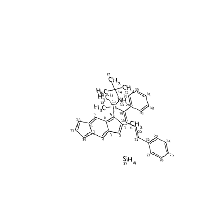 CC1=Cc2cc3c(cc2=[C]1[Ti]([CH3])([CH3])([NH]C(C)(C)C)[C](=CC=Cc1ccccc1)c1ccccc1)C=CC=3.[SiH4]